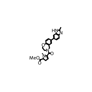 COC(=O)C1CC=C(C(=O)N2CCOc3ccc(-c4ccc5nc(C)[nH]c5c4)cc3C2)N1C